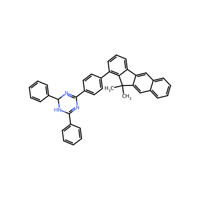 CC1(C)c2cc3ccccc3cc2-c2cccc(-c3ccc(C4=NC(c5ccccc5)NC(c5ccccc5)=N4)cc3)c21